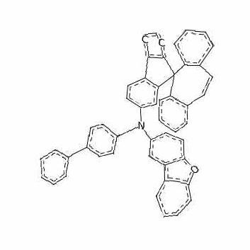 C1=Cc2ccccc2C2(c3ccccc31)c1ccccc1-c1ccc(N(c3ccc(-c4ccccc4)cc3)c3ccc4oc5ccccc5c4c3)cc12